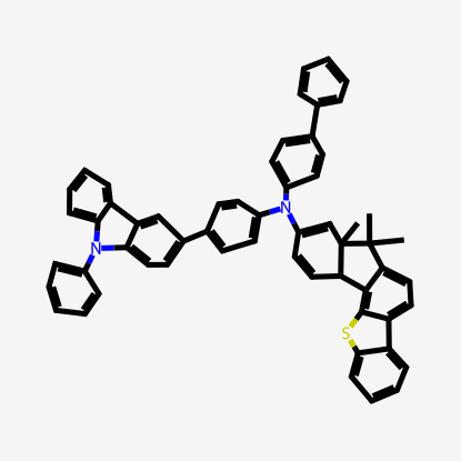 CC1(C)c2ccc3c(sc4ccccc43)c2C2C=CC(N(c3ccc(-c4ccccc4)cc3)c3ccc(-c4ccc5c(c4)c4ccccc4n5-c4ccccc4)cc3)=CC21C